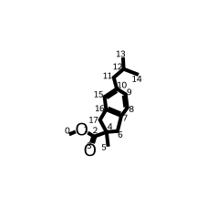 COC(=O)C1(C)Cc2ccc(CC(C)C)cc2C1